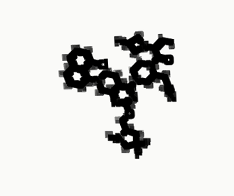 C/C=C(\C(=O)N1CCN(c2nc(OCC3CC(F)(F)CN3C)nc3c2CCN(c2cccc4cccc(Cl)c24)C3)CC1CC#N)N1CC(F)C1